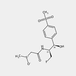 C[S+]([O-])CC(=O)N[C@H](CF)[C@H](O)c1ccc(S(C)(=O)=O)cc1